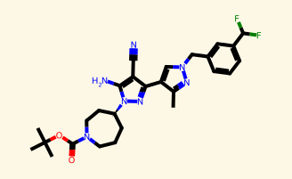 Cc1nn(Cc2cccc(C(F)F)c2)cc1-c1nn([C@H]2CCCN(C(=O)OC(C)(C)C)CC2)c(N)c1C#N